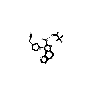 C[C@@H](O)c1nc2cnc3ccsc3c2n1[C@H]1CC[C@@H](CC#N)C1.O=C(O)C(F)(F)F